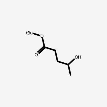 CC(O)CCC(=O)OC(C)(C)C